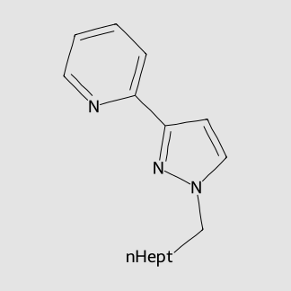 CCCCCCCCn1ccc(-c2ccccn2)n1